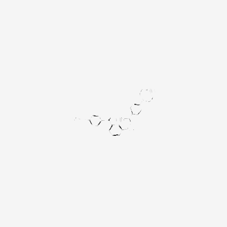 COc1ccc(C(=O)c2cccc(N)c2NC(=O)c2ccc(C3CCNCC3)cc2)cc1